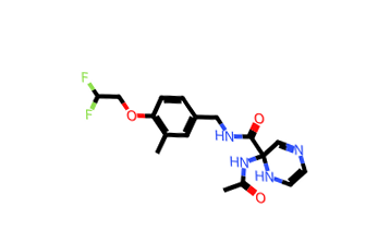 CC(=O)NC1(C(=O)NCc2ccc(OCC(F)F)c(C)c2)C=NC=CN1